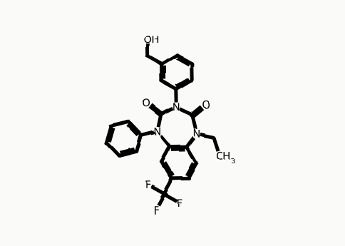 CCN1C(=O)N(c2cccc(CO)c2)C(=O)N(c2ccccc2)c2cc(C(F)(F)F)ccc21